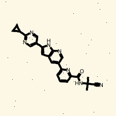 CC(C)(C#N)NC(=O)c1cccc(-c2cnc3[nH]c(-c4cnc(C5CC5)nc4)cc3c2)n1